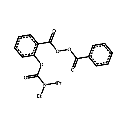 CCN(C(=O)Oc1ccccc1C(=O)OOC(=O)c1ccccc1)C(C)C